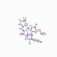 CCCOc1ccc(/N=c2\[nH]n(C[C@H](C)C(=O)OC)c(=O)n2Cc2ccc(Cl)cc2)cc1C